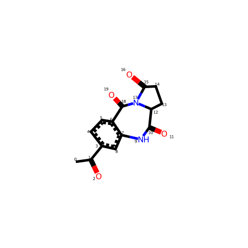 CC(=O)c1ccc2c(c1)NC(=O)C1CCC(=O)N1C2=O